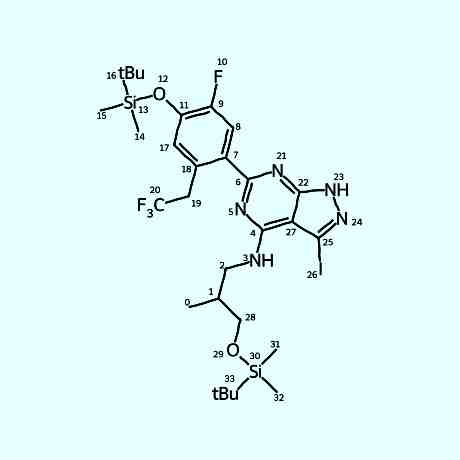 CC(CNc1nc(-c2cc(F)c(O[Si](C)(C)C(C)(C)C)cc2CC(F)(F)F)nc2[nH]nc(I)c12)CO[Si](C)(C)C(C)(C)C